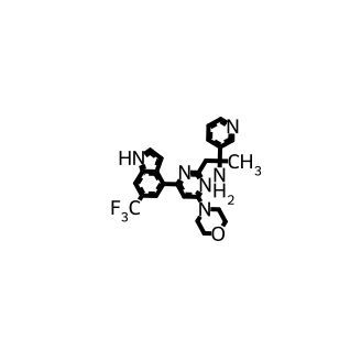 CC(N)(Cc1nc(-c2cc(C(F)(F)F)cc3[nH]ccc23)cc(N2CCOCC2)n1)c1cccnc1